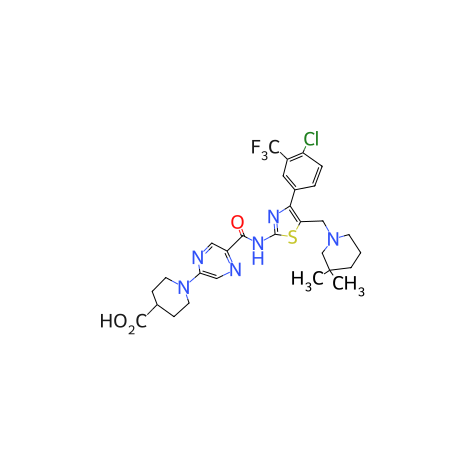 CC1(C)CCCN(Cc2sc(NC(=O)c3cnc(N4CCC(C(=O)O)CC4)cn3)nc2-c2ccc(Cl)c(C(F)(F)F)c2)C1